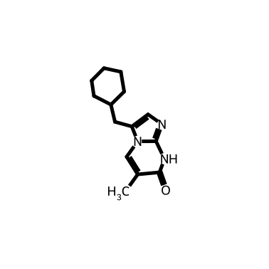 Cc1cn2c(CC3CCCCC3)cnc2[nH]c1=O